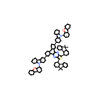 CC1(C)c2ccccc2-c2c(-c3sc(-c4cccc5c4-c4ccccc4C5(C)C)c4nc5c6cc(-c7ccc8c(c7)c7ccccc7n8-c7cccc8c7oc7ccccc78)ccc6c6ccc(-c7ccc8c(c7)c7ccccc7n8-c7cccc8c7oc7ccccc78)cc6c5nc34)cccc21